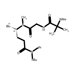 CCCCN(C(=O)CC[C@H]([C@@H](C)CC)N(C)C(=O)CNC(=O)C(C)(C)NC)C(C)C